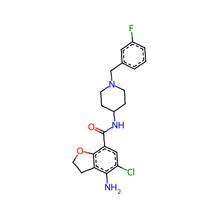 Nc1c(Cl)cc(C(=O)NC2CCN(Cc3cccc(F)c3)CC2)c2c1CCO2